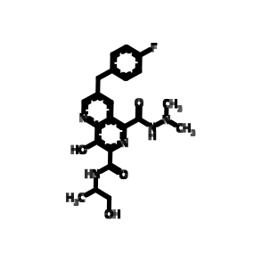 CC(CO)NC(=O)c1nc(C(=O)NN(C)C)c2cc(Cc3ccc(F)cc3)cnc2c1O